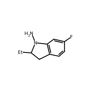 CCC1Cc2ccc(F)cc2N1N